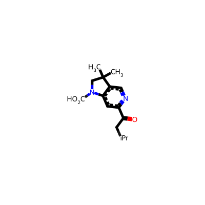 CC(C)CC(=O)c1cc2c(cn1)C(C)(C)CN2C(=O)O